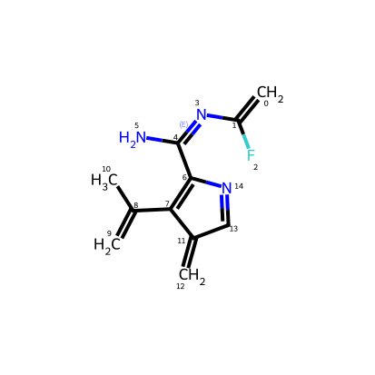 C=C(F)/N=C(/N)C1=C(C(=C)C)C(=C)C=N1